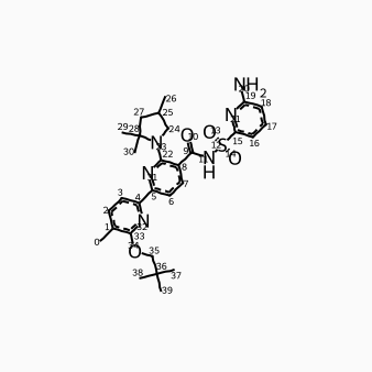 Cc1ccc(-c2ccc(C(=O)NS(=O)(=O)c3cccc(N)n3)c(N3CC(C)CC3(C)C)n2)nc1OCC(C)(C)C